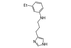 CCc1cccc(NCCCc2c[nH]cn2)c1